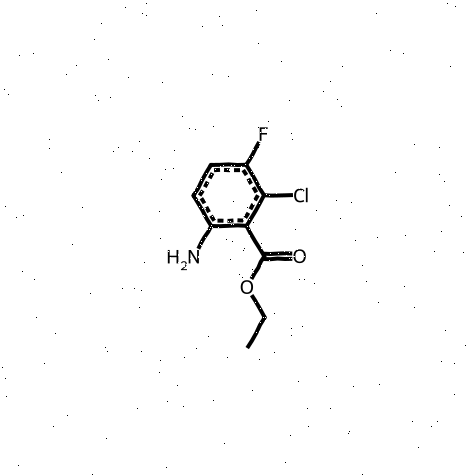 CCOC(=O)c1c(N)ccc(F)c1Cl